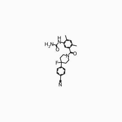 Cc1cc(C)c(C(=O)N2CCC(F)(c3ccc(C#N)cc3)CC2)cc1NC(N)=O